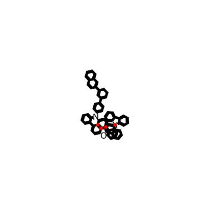 C1=C(c2ccc(N(c3ccc(-c4ccccc4-n4c5ccccc5c5ccccc54)cc3)c3ccccc3-c3ccc4oc5c6ccccc6ccc5c4c3)cc2)C=C(c2ccc3ccccc3c2)CC1